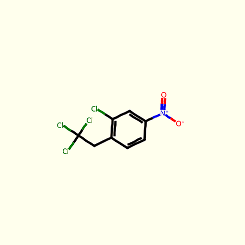 O=[N+]([O-])c1ccc(CC(Cl)(Cl)Cl)c(Cl)c1